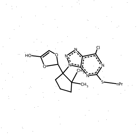 CCCSc1nc(Cl)c2nnn(C3(C4OC=C(O)O4)CCCC3(C)C)c2n1